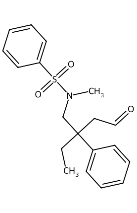 CCC(CC=O)(CN(C)S(=O)(=O)c1ccccc1)c1ccccc1